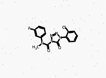 CN(C(=O)n1nnn(-c2ccccc2Cl)c1=O)c1cccc(F)c1